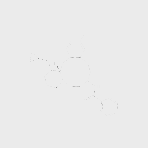 O=C(NC1CCc2cc(O)ccc2C[C@@H]2C(CCCN2CC2CC2)OC1)c1ccccc1